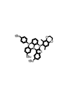 Cc1cc2c(c(C)c1N1c3cccc4c3B(c3cc(C(C)(C)C)ccc3N4c3ccc(C(C)(C)C)cc3)c3c1sc1ccc(C(C)(C)C)cc31)OCCO2